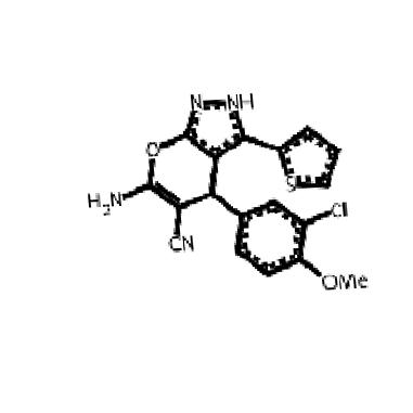 COc1ccc(C2C(C#N)=C(N)Oc3n[nH]c(-c4cccs4)c32)cc1Cl